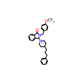 O=C1c2ccccc2C(N2CCC(CCCc3ccccc3)CC2)N1Cc1ccc(OC(F)(F)F)cc1